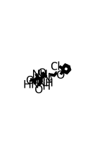 Nc1c(C(=O)NCCCOc2ccccc2Cl)[nH]c(=O)[nH]c1=O